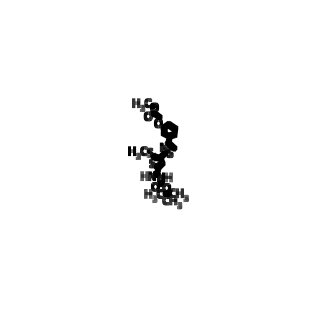 COC(=O)COc1cccc(-c2csc(-c3cc(C(=N)NC(=O)OC(C)(C)C)sc3SC)n2)c1